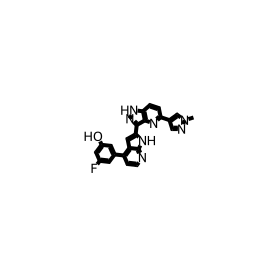 Cn1cc(-c2ccc3[nH]nc(-c4cc5c(-c6cc(O)cc(F)c6)ccnc5[nH]4)c3n2)cn1